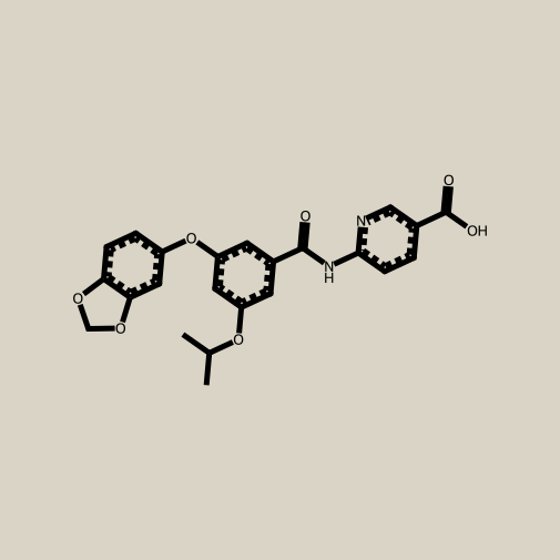 CC(C)Oc1cc(Oc2ccc3c(c2)OCO3)cc(C(=O)Nc2ccc(C(=O)O)cn2)c1